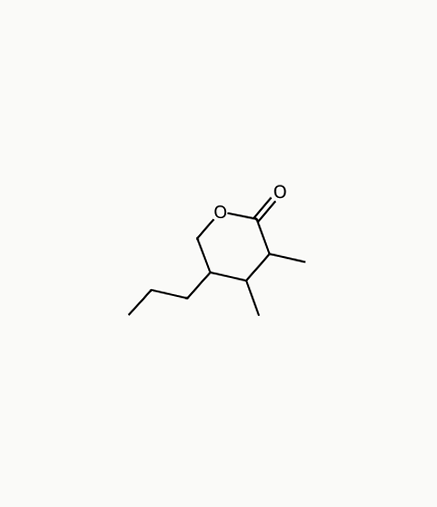 CCCC1COC(=O)C(C)C1C